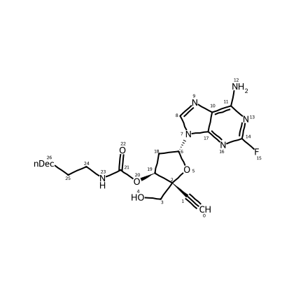 C#C[C@]1(CO)O[C@@H](n2cnc3c(N)nc(F)nc32)C[C@@H]1OC(=O)NCCCCCCCCCCCC